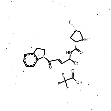 CC[C@@H](/C=C/C(=O)N1CCc2ccccc21)NC(=O)[C@@H]1C[C@H](F)CN1.O=C(O)C(F)(F)F